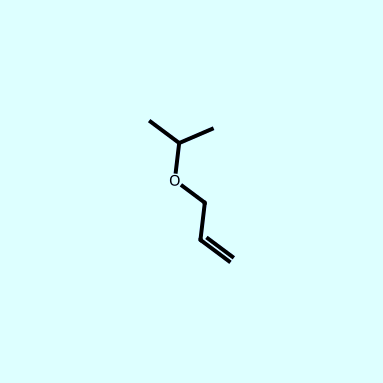 C=CCOC(C)C